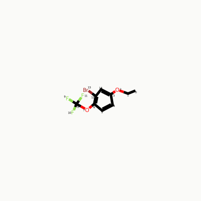 CCOc1ccc(OC(F)(F)F)c(Br)c1